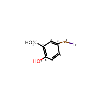 O=C(O)c1cc(SI)ccc1O